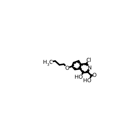 CCCCOc1ccc2c(Cl)nc(C(=O)O)c(O)c2c1